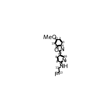 COc1ccc2nc(-c3ccc(NCCF)nc3)oc2c1